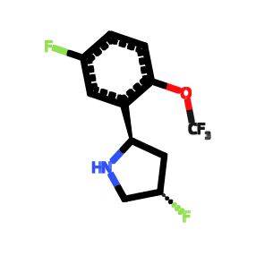 Fc1ccc(OC(F)(F)F)c([C@H]2C[C@H](F)CN2)c1